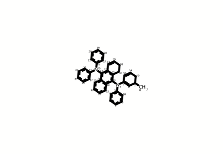 CC1C=C(N(c2ccccc2)c2c3c(c(N(c4ccccc4)c4ccccc4)c4ccccc24)C=CCC3)C=CC1